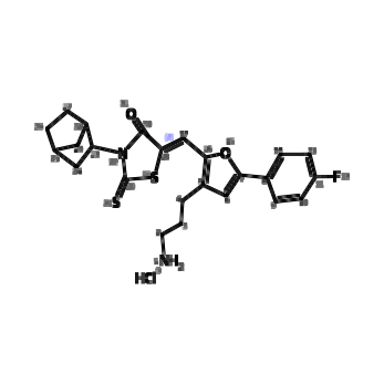 Cl.NCCCc1cc(-c2ccc(F)cc2)oc1/C=C1\SC(=S)N(C2CC3CCC2C3)C1=O